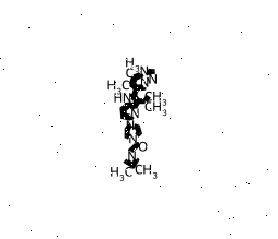 Cc1c(-c2[nH]c3ccc(N4CCN(C(=O)CN5CC(C)(C)C5)CC4)nc3c2C(C)C)cn2ncnc2c1C